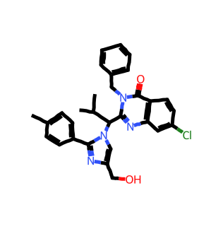 Cc1ccc(-c2nc(CO)cn2C(c2nc3cc(Cl)ccc3c(=O)n2Cc2ccccc2)C(C)C)cc1